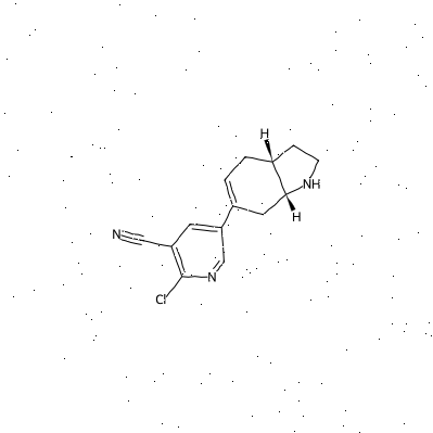 N#Cc1cc(C2=CC[C@@H]3CCN[C@@H]3C2)cnc1Cl